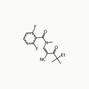 CCC(C)(C)C(=O)/C(C#N)=C\N(C)C(=O)c1c(F)cccc1F